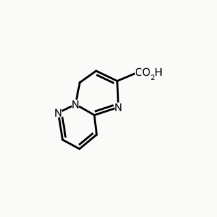 O=C(O)C1=CCN2N=CC=CC2=N1